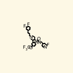 O=C(NCc1ccnc(F)c1)n1c2c(c3cc(OC(F)(F)F)ccc31)CN(CC=Cc1ccc(F)c(F)c1)CC2